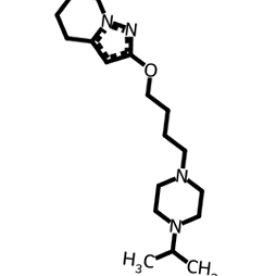 CC(C)N1CCN(CCCCOc2cc3n(n2)CCCC3)CC1